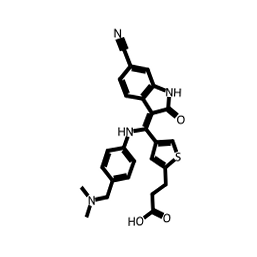 CN(C)Cc1ccc(NC(=C2C(=O)Nc3cc(C#N)ccc32)c2csc(CCC(=O)O)c2)cc1